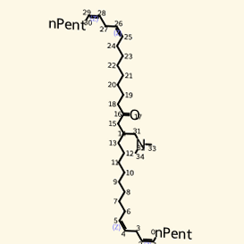 CCCCC/C=C\C/C=C\CCCCCCCCC(CC(=O)CCCCCCC/C=C\C/C=C\CCCCC)CN(C)C